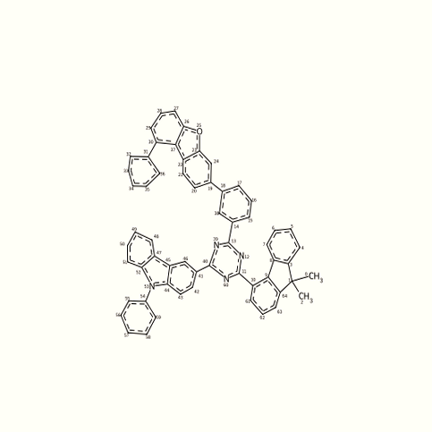 CC1(C)c2ccccc2-c2c(-c3nc(-c4cccc(-c5ccc6c(c5)oc5cccc(-c7ccccc7)c56)c4)nc(-c4ccc5c(c4)c4ccccc4n5-c4ccccc4)n3)cccc21